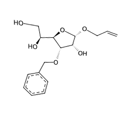 C=CCO[C@H]1O[C@H]([C@@H](O)CO)[C@@H](OCc2ccccc2)[C@H]1O